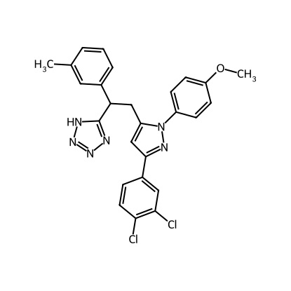 COc1ccc(-n2nc(-c3ccc(Cl)c(Cl)c3)cc2CC(c2cccc(C)c2)c2nnn[nH]2)cc1